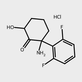 Cl.NC1(c2c(F)cccc2F)CCCC(O)C1=O